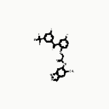 Cc1cc2cn[nH]c2cc1NC(=O)COc1ccc(Cl)cc1C(=O)c1cc(F)cc(C(F)(F)F)c1